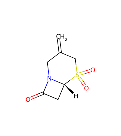 C=C1CN2C(=O)C[C@H]2S(=O)(=O)C1